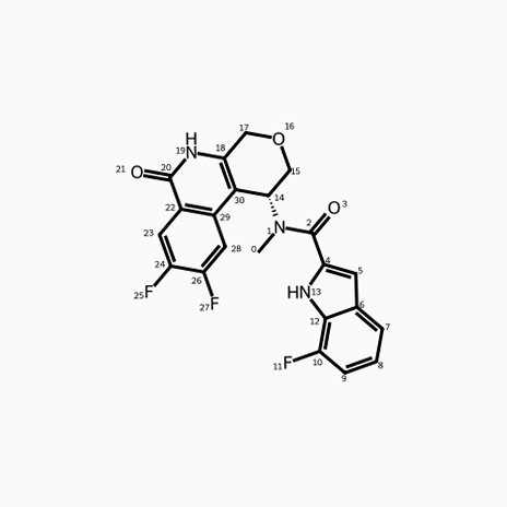 CN(C(=O)c1cc2cccc(F)c2[nH]1)[C@H]1COCc2[nH]c(=O)c3cc(F)c(F)cc3c21